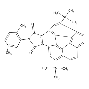 Cc1ccc(C)c(-n2c(=O)c3c4cc([Si](C)(C)C)c5ccc6ccc7c([Si](C)(C)C)cc(c3c2=O)c2c7c6c5c42)c1